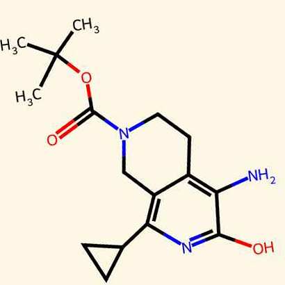 CC(C)(C)OC(=O)N1CCc2c(N)c(O)nc(C3CC3)c2C1